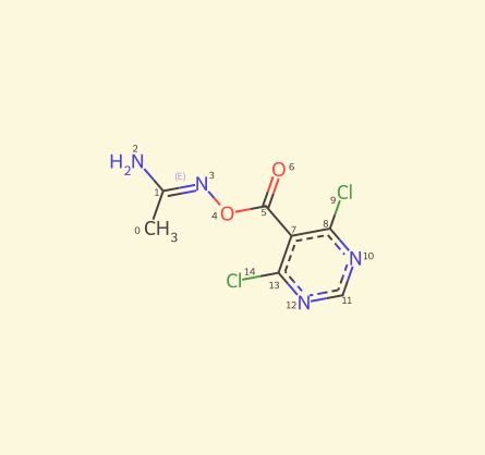 C/C(N)=N\OC(=O)c1c(Cl)ncnc1Cl